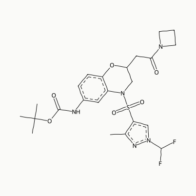 Cc1nn(C(F)F)cc1S(=O)(=O)N1CC(CC(=O)N2CCC2)Oc2ccc(NC(=O)OC(C)(C)C)cc21